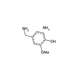 COc1cc(CN)ccc1O.N